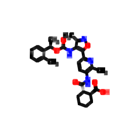 Cc1ccccc1[C@@H](C)OC(=O)Nc1c(C)noc1-c1ccc(NC(=O)[C@H]2CCCC[C@@H]2C(=O)O)c(C)n1